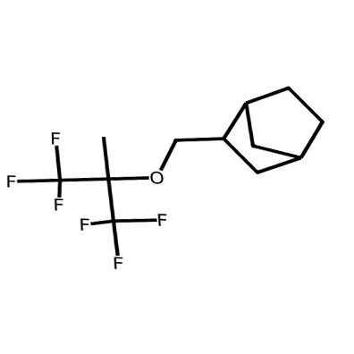 CC(OCC1CC2CCC1C2)(C(F)(F)F)C(F)(F)F